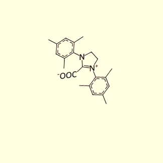 Cc1cc(C)c(N2CC[N+](c3c(C)cc(C)cc3C)=C2C(=O)[O-])c(C)c1